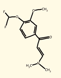 COc1cc(C(=O)C=CN(C)C)ccc1OC(F)F